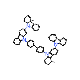 CC1CC=Cc2c1c1ccc(-n3c4ccccc4c4ccccc43)cc1n2-c1ccc(-c2ccc(-n3c4c(c5ccccc53)CCC(N3c5ccccc5C5(C)C=CC=CC35)=C4)cc2)cc1